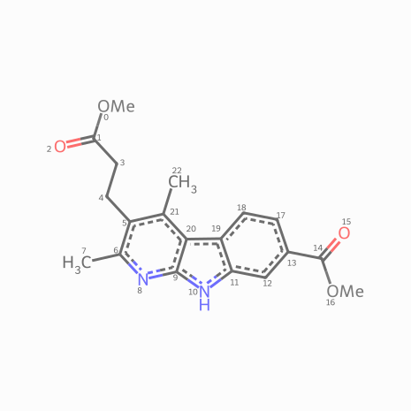 COC(=O)CCc1c(C)nc2[nH]c3cc(C(=O)OC)ccc3c2c1C